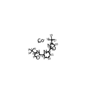 CC(C)(C)c1coc(-c2cccc(-c3nc(C(C)(C)C)co3)n2)n1.[Co]